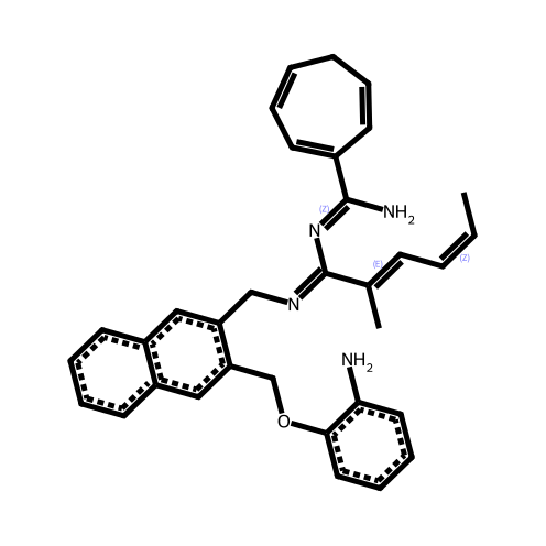 C/C=C\C=C(/C)C(=NCc1cc2ccccc2cc1COc1ccccc1N)/N=C(\N)C1=CC=CCC=C1